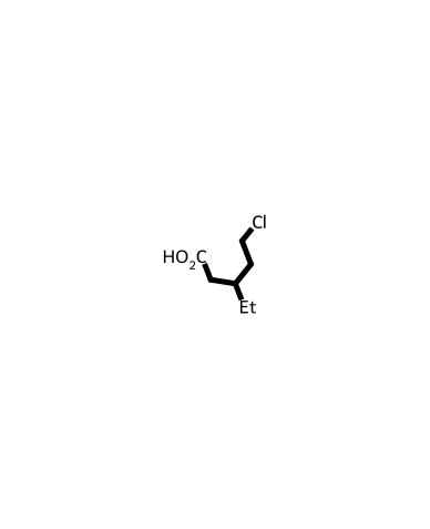 CCC(CCCl)CC(=O)O